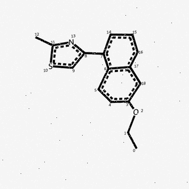 CCOc1ccc2c(-c3csc(C)n3)cccc2c1